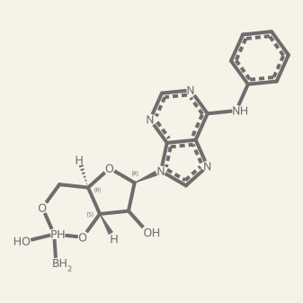 B[PH]1(O)OC[C@H]2O[C@@H](n3cnc4c(Nc5ccccc5)ncnc43)C(O)[C@@H]2O1